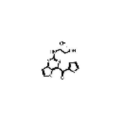 C[C@H](CO)Nc1nc(C(=O)c2cccs2)c2sccc2n1